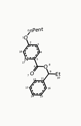 CCCCCOc1ccc(C(=O)OC(CC)c2ccccc2)nc1